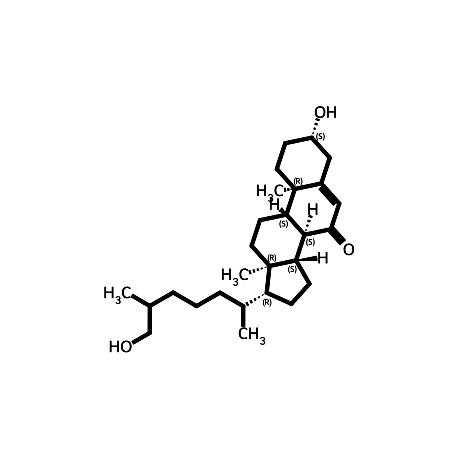 CC(CO)CCCC(C)[C@H]1CC[C@H]2[C@@H]3C(=O)C=C4C[C@@H](O)CC[C@]4(C)[C@H]3CC[C@]12C